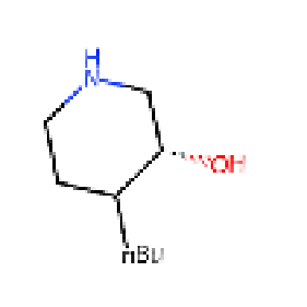 CCCCC1CCNC[C@@H]1O